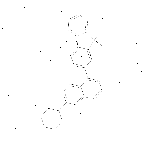 CC1(C)c2ccccc2-c2ccc(-c3nccc4cc(C5CCCCC5)ccc34)cc21